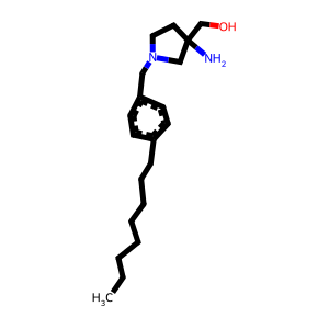 CCCCCCCCc1ccc(CN2CCC(N)(CO)C2)cc1